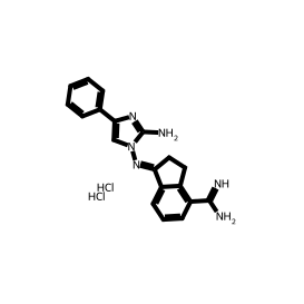 Cl.Cl.N=C(N)c1cccc2c1CC/C2=N\n1cc(-c2ccccc2)nc1N